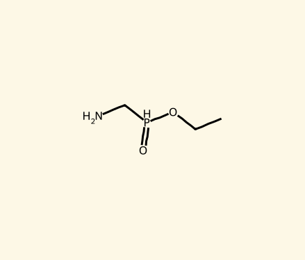 CCO[PH](=O)CN